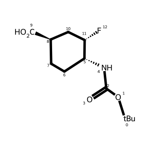 CC(C)(C)OC(=O)N[C@@H]1CC[C@@H](C(=O)O)C[C@@H]1F